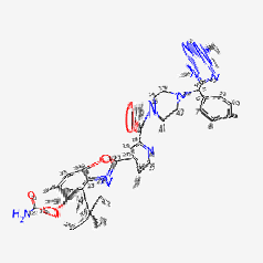 Cn1nnc(C(c2ccccc2)N2CCN(C(=O)c3cc(-c4nc5c(C(C)(C)C)c(OC(N)=O)ccc5o4)ccn3)CC2)n1